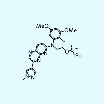 COc1cc(OC)c(F)c(N(CCO[Si](C)(C)C(C)(C)C)c2ccc3ncc(-c4cnn(C)c4)nc3n2)c1